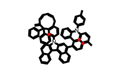 C=C1/C=C\C=C/Cc2ccc(-n3c4ccc5ccccc5c4c4c5ccccc5c(-c5ccccc5-c5ccccc5N(c5ccc(C)cc5)c5ccc(C)cc5)cc43)cc2C1(c1ccccc1)c1ccccc1